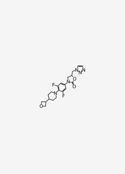 O=C1OC(Cn2ccnn2)CN1c1cc(F)c(N2CCC(C3COC3)CC2)c(F)c1